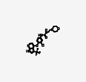 O=C(NCCN1CCOCC1)Nc1ccc(Oc2ccnc3[nH]cc(C(F)(F)F)c23)c(Cl)c1